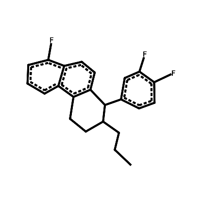 CCCC1CCc2c(ccc3c(F)cccc23)C1c1ccc(F)c(F)c1